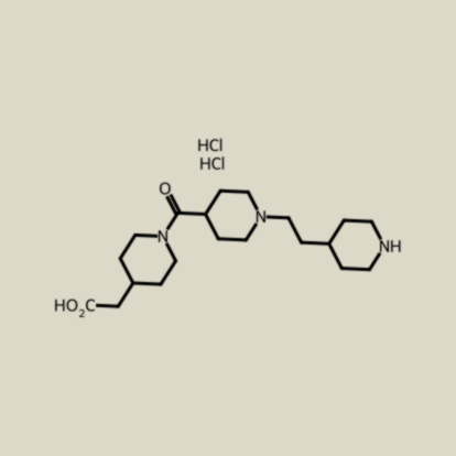 Cl.Cl.O=C(O)CC1CCN(C(=O)C2CCN(CCC3CCNCC3)CC2)CC1